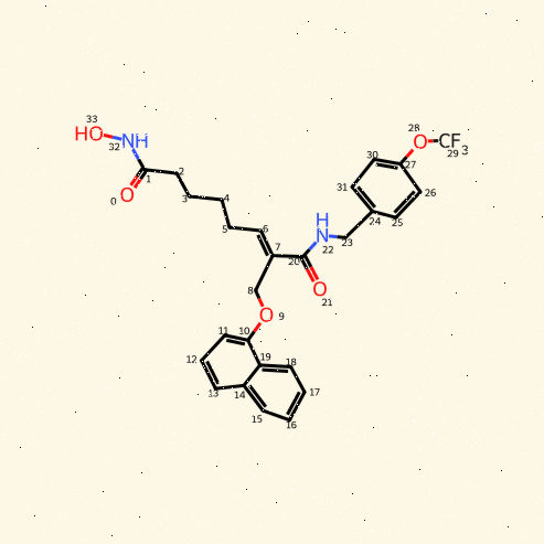 O=C(CCCC/C=C(\COc1cccc2ccccc12)C(=O)NCc1ccc(OC(F)(F)F)cc1)NO